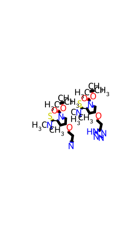 CN(C)C(=S)[C@@H]1C[C@@H](OCCC#N)CN1C(=O)OC(C)(C)C.CN(C)C(=S)[C@@H]1C[C@@H](OCCc2nnn[nH]2)CN1C(=O)OC(C)(C)C